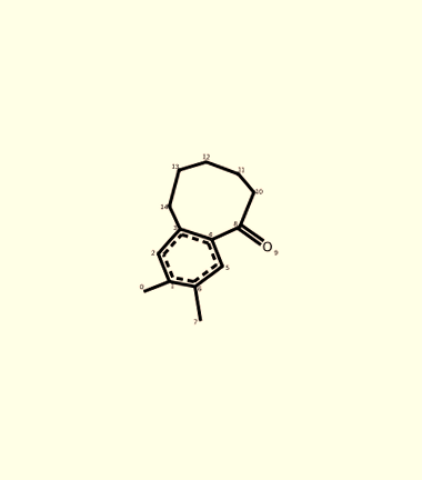 Cc1cc2c(cc1C)C(=O)CCCCC2